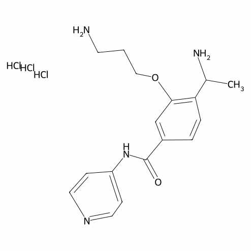 CC(N)c1ccc(C(=O)Nc2ccncc2)cc1OCCCN.Cl.Cl.Cl